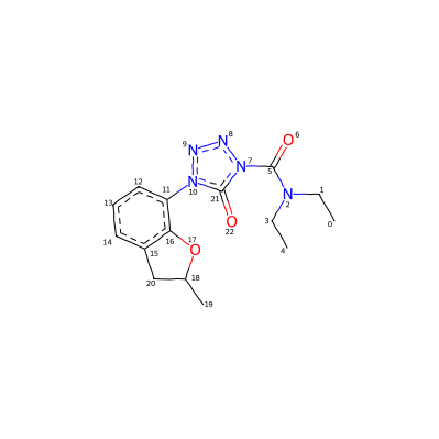 CCN(CC)C(=O)n1nnn(-c2cccc3c2OC(C)C3)c1=O